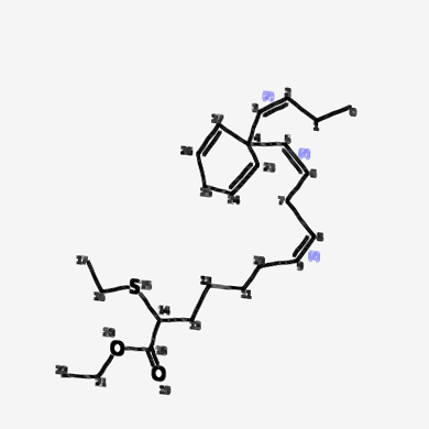 CC/C=C\C1(/C=C\C/C=C\CCCCC(SCC)C(=O)OCC)C=CCC=C1